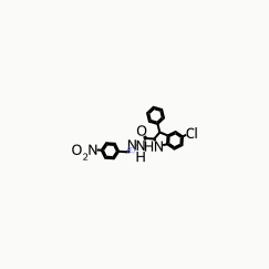 O=C(N/N=C/c1ccc([N+](=O)[O-])cc1)C1Nc2ccc(Cl)cc2C1c1ccccc1